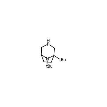 CC(C)(C)N1C2CCC1(C(C)(C)C)CPC2